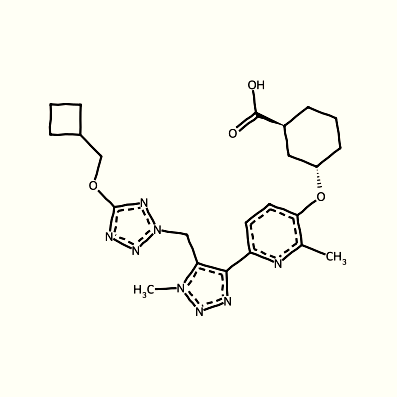 Cc1nc(-c2nnn(C)c2Cn2nnc(OCC3CCC3)n2)ccc1O[C@H]1CCC[C@H](C(=O)O)C1